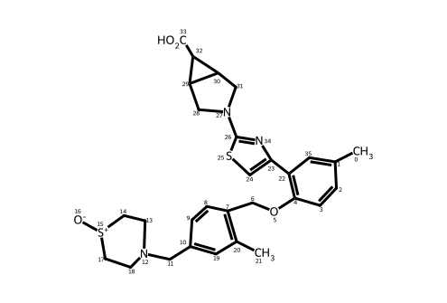 Cc1ccc(OCc2ccc(CN3CC[S+]([O-])CC3)cc2C)c(-c2csc(N3CC4C(C3)C4C(=O)O)n2)c1